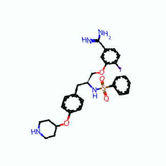 N=C(N)c1ccc(I)c(OC[C@H](Cc2ccc(OC3CCNCC3)cc2)NS(=O)(=O)c2ccccc2)c1